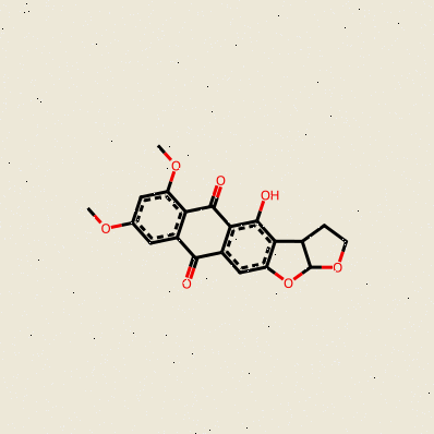 COc1cc(OC)c2c(c1)C(=O)c1cc3c(c(O)c1C2=O)C1CCOC1O3